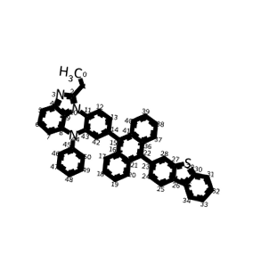 CCc1nc2cccc3c2n1-c1ccc(-c2c4ccccc4c(-c4ccc5c(c4)sc4ccccc45)c4ccccc24)cc1N3c1ccccc1